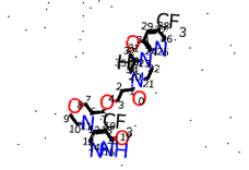 O=C(CCOCC1COCCN1c1cn[nH]c(=O)c1C(F)(F)F)N1CCN2c3ncc(C(F)(F)F)cc3OC[C@@H]2C1